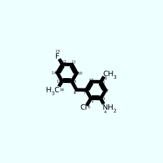 Cc1cc(N)c(Cl)c(Cc2ccc(F)cc2C)c1